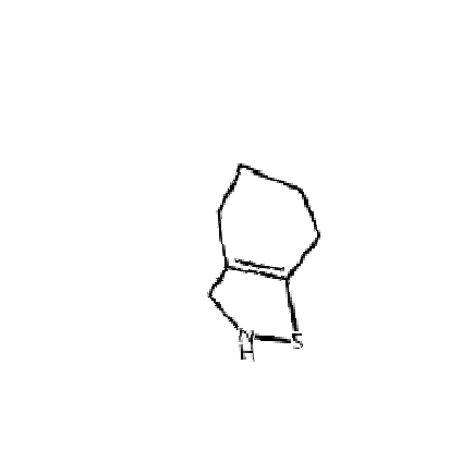 C1CCC2=C(C1)CNS2